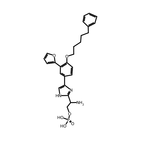 NC(COP(=O)(O)O)c1nc(-c2ccc(OCCCCCc3ccccc3)c(-c3ccco3)c2)c[nH]1